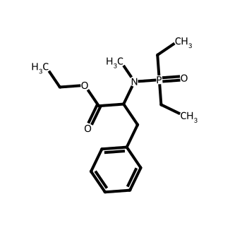 CCOC(=O)C(Cc1ccccc1)N(C)P(=O)(CC)CC